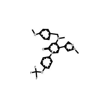 COc1ccc(CN(C)c2cc(=O)n(-c3ccc(OC(F)(F)F)cc3)cc2-c2cnn(C)c2)cc1